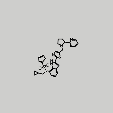 O=S(=O)(C1=CC=CC1)N(CC1CC1)c1cccc2cc(-c3ncc(CN4CCCC4c4ccccn4)s3)[nH]c12